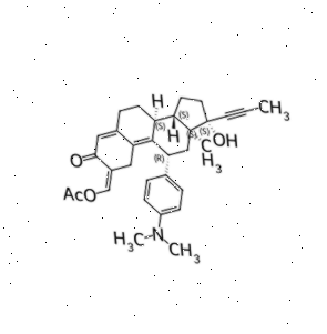 CC#C[C@]1(O)CC[C@H]2[C@@H]3CCC4=CC(=O)C(=COC(C)=O)CC4=C3[C@@H](c3ccc(N(C)C)cc3)C[C@@]21C